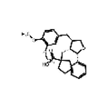 COc1ccc(C[C@H]2CO[C@H](c3ccccc3)[C@@H]2CC2(C(=O)O)CCCC2)cc1OC